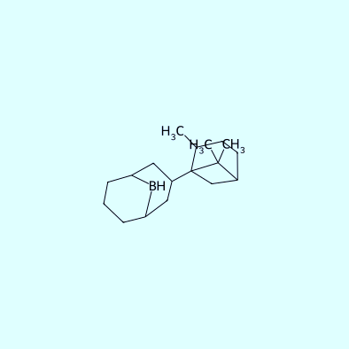 CC1CCC2CC1(C1CC3BC(CCC3)C1)C2(C)C